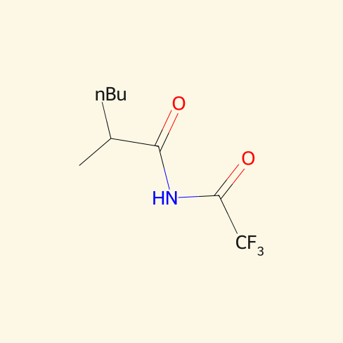 CCCCC(C)C(=O)NC(=O)C(F)(F)F